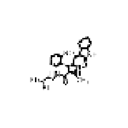 CCN(CC)CCNC(=O)c1c(C)[nH]c(/C=C2\C(=O)Nc3ccccc32)c1-c1ccccc1[N+](=O)[O-]